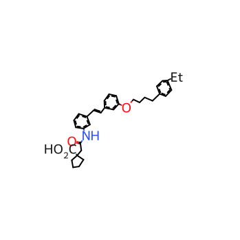 CCc1ccc(CCCCOc2cccc(C=Cc3cccc(NC(=O)CC4(C(=O)O)CCCC4)c3)c2)cc1